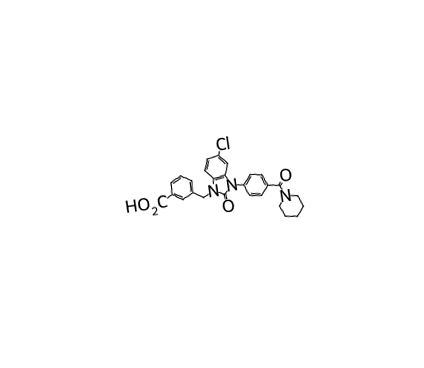 O=C(O)c1cccc(Cn2c(=O)n(-c3ccc(C(=O)N4CCCCC4)cc3)c3cc(Cl)ccc32)c1